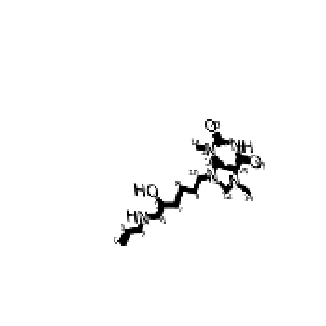 C=CCNCC(O)CCCCN1CN(C)c2c1n(C)c(=O)[nH]c2=O